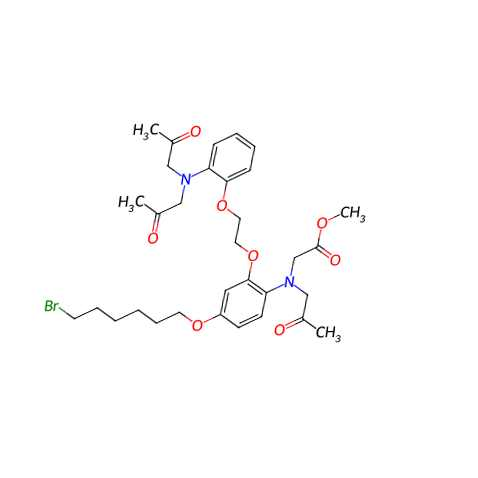 COC(=O)CN(CC(C)=O)c1ccc(OCCCCCCBr)cc1OCCOc1ccccc1N(CC(C)=O)CC(C)=O